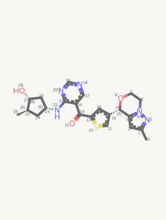 Cc1cc2n(n1)CCO[C@H]2c1csc(C(=O)c2cncnc2N[C@@H]2C[C@@H](C)[C@H](O)C2)c1